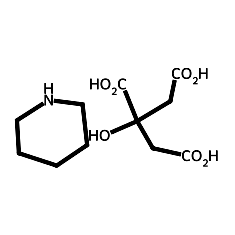 C1CCNCC1.O=C(O)CC(O)(CC(=O)O)C(=O)O